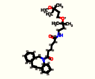 COC(C)(C)CCOC(C)(C)CCNC(=O)CCCCC(=O)N1Cc2ccccc2/C=C\c2ccccc21